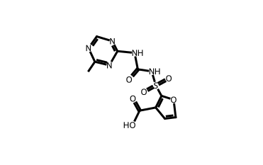 Cc1ncnc(NC(=O)NS(=O)(=O)c2occc2C(=O)O)n1